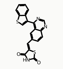 O=C1NC(=O)/C(=C/c2ccc3ncnc(-c4csc5ccccc45)c3c2)S1